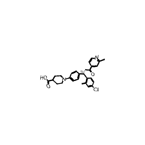 Cc1cc(C(=O)C[C@@H](c2ccc(N3CCC(C(=O)O)CC3)cc2)c2ccc(Cl)cc2C)ccn1